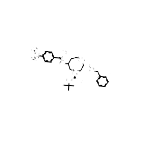 CC(C)(C)OC(=O)N1CC(OC(=O)c2ccc([N+](=O)[O-])cc2)CCO[C@H](COCc2ccccc2)C1